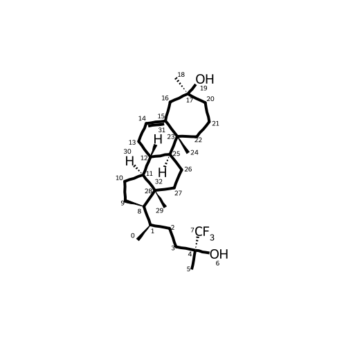 C[C@H](CC[C@](C)(O)C(F)(F)F)[C@H]1CC[C@H]2[C@@H]3CC=C4C[C@@](C)(O)CCC[C@]4(C)[C@H]3CC[C@]12C